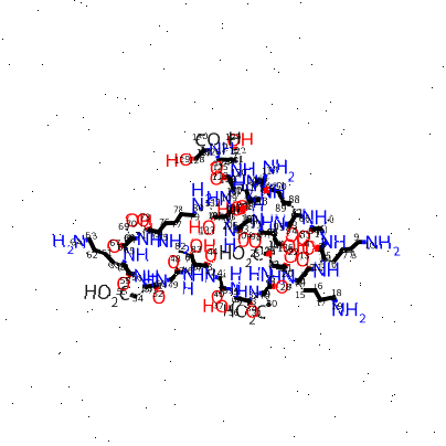 C[C@H](NC(=O)[C@H](CCCCN)NC(=O)[C@H](CCCCN)NC(=O)[C@H](CC(=O)O)NC(=O)[C@H](CC(=O)O)NC(=O)[C@H](CO)NC(=O)CNC(=O)[C@@H](NC(=O)CNC(=O)[C@H](CC(=O)O)NC(=O)[C@H](CCCCN)NC(=O)[C@H](CO)NC(=O)[C@@H](N)CCCCN)[C@@H](C)O)C(=O)N[C@@H](CCCCN)C(=O)N[C@H](C(=O)N[C@@H](CO)C(=O)N[C@H](C(=O)N[C@@H](CCCNC(=N)N)C(=O)N[C@@H](CO)C(=O)N[C@@H](CO)C(=O)O)[C@@H](C)O)[C@@H](C)O